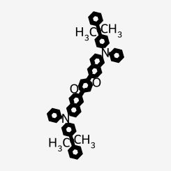 CC(C)(c1ccccc1)c1ccc(N(c2ccccc2)c2ccc3cc4c(cc3c2)oc2cc3c(cc24)oc2cc4cc(N(c5ccccc5)c5ccc(C(C)(C)c6ccccc6)cc5)ccc4cc23)cc1